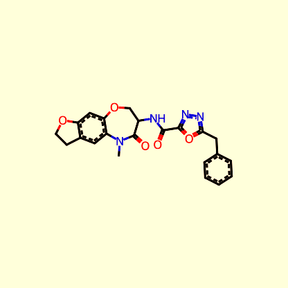 CN1C(=O)C(NC(=O)c2nnc(Cc3ccccc3)o2)COc2cc3c(cc21)CCO3